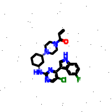 C=CC(=O)N1CCN([C@H]2CCC[C@@H](Nc3ncc(Cl)c(-c4c[nH]c5ccc(F)cc45)n3)C2)CC1